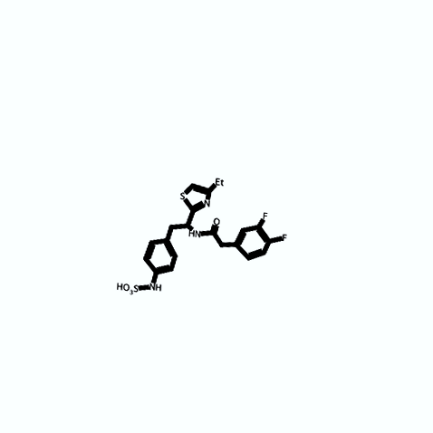 CCc1csc(C(Cc2ccc(NS(=O)(=O)O)cc2)NC(=O)Cc2ccc(F)c(F)c2)n1